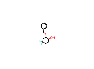 O[C@H]1CCC(F)(F)C[C@H]1OCc1ccccc1